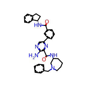 Nc1ncc(-c2cccc(C(=O)N[C@H]3CCc4ccccc43)c2)nc1C(=O)N[C@H]1CCCCN(Cc2ccccc2)C1